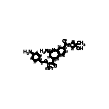 CCCN(OCc1ccc(N)cc1)C(=O)C1=Cc2ccc(C(=O)N3CC(C)(O)C3)cc2N=C(N)C1